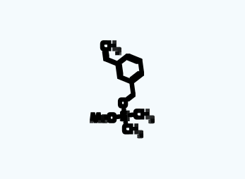 C=Cc1cccc(CO[Si](C)(C)OC)c1